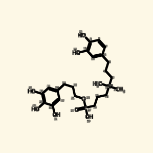 C[N+](C)(CCCc1ccc(O)c(O)c1)CCCP(=O)(O)OCCCc1cc(O)c(O)c(O)c1